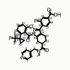 CN(Cc1ccncc1)C(=O)C1CCc2c(-c3ccc(C(=O)O)cc3F)nn(C(=O)c3c(Cl)cccc3C3(C(F)(F)F)CC3)c2C1